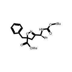 COC(=O)C1(Cc2ccccc2)CC([C@@H](NC(=O)OC(C)(C)C)C(C)C)=NO1